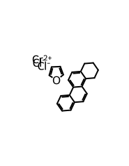 [Cl-].[Cl-].[Cr+2].c1ccc2c(c1)ccc1c3c(ccc12)CCCC3.c1ccoc1